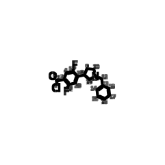 O=C(Cl)c1cc(F)c(C2CCN(Cc3ccccc3)C2)cc1F